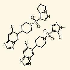 Cn1ncc(S(=O)(=O)N2CCC(c3cn4ncnc4cc3Cl)CC2)c1Cl.O=S(=O)(c1cnn2c1CCC2)N1CCC(c2cn3ncnc3cc2Cl)CC1